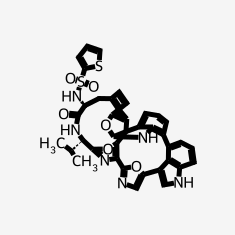 CC(C)[C@@H]1NC(=O)[C@@H](NS(=O)(=O)c2cccs2)Cc2ccc3c(c2)C24c5cccc(c5NC2O3)-c2cccc3[nH]cc(c23)-c2cnc(o2)-c2nc1oc24